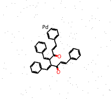 O=C(C=Cc1ccccc1)C(=Cc1ccccc1)C(=Cc1ccccc1)C(=O)C=Cc1ccccc1.[Pd]